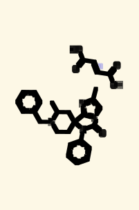 CC(=O)N(c1ccccc1)C1(c2nc(C)cs2)CCN(Cc2ccccc2)C(C)C1.O=C(O)/C=C/C(=O)O